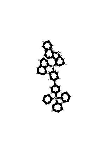 c1ccc([Si](c2ccccc2)(c2ccccc2)c2ccc(-c3ccc(N(c4cccc5ccccc45)c4cccc5oc6c7ccccc7ccc6c45)cc3)cc2)cc1